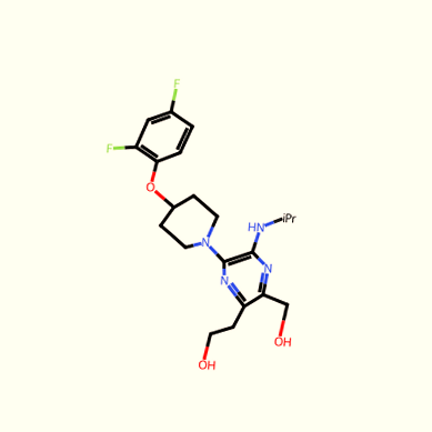 CC(C)Nc1nc(CO)c(CCO)nc1N1CCC(Oc2ccc(F)cc2F)CC1